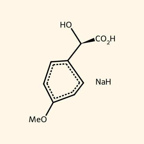 COc1ccc([C@@H](O)C(=O)O)cc1.[NaH]